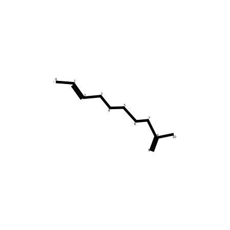 [CH2]C=CCCCCCC(=C)C